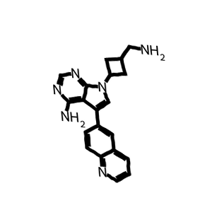 NCC1CC(n2cc(-c3ccc4ncccc4c3)c3c(N)ncnc32)C1